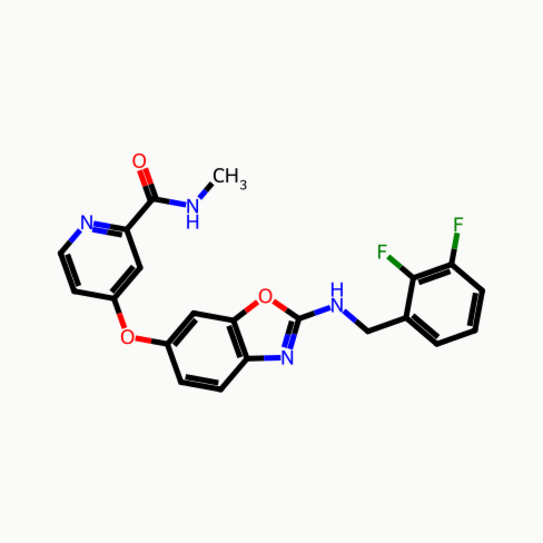 CNC(=O)c1cc(Oc2ccc3nc(NCc4cccc(F)c4F)oc3c2)ccn1